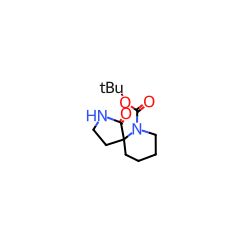 CC(C)(C)OC(=O)N1CCCCC12CCNC2=O